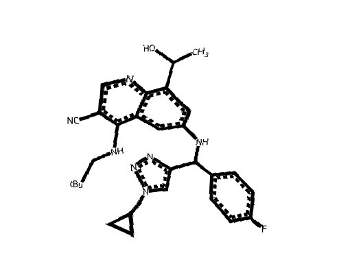 CC(O)c1cc(NC(c2ccc(F)cc2)c2cn(C3CC3)nn2)cc2c(NCC(C)(C)C)c(C#N)cnc12